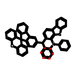 C1=CCCC(N(c2ccccc2)c2c(C(c3ccccc3)c3ccc4c(c3)-c3ccccc3C43c4ccccc4Oc4ccccc43)ccc3c2sc2ccccc23)=C1